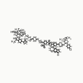 COC1(C)CCC(c2ccc(Cl)cc2)=C(CN2CCN(c3ccc(C(=O)NS(=O)(=O)c4ccc(NCCCN5CCN(C(=O)CCOCCC(=O)N[C@H](C(=O)N6C[C@H](O)C[C@H]6C(=O)N[C@@H](C)c6ccc(-c7scnc7C)cc6)C(C)(C)C)CC5)c([N+](=O)[O-])c4)c(N4CCCOc5nc6[nH]ccc6cc54)c3)CC2)C1